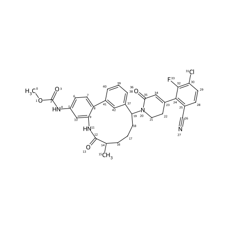 COC(=O)Nc1ccc2c(c1)NC(=O)C(C)CCCC(N1CCC(c3c(C#N)ccc(Cl)c3F)=CC1=O)c1cccc-2c1